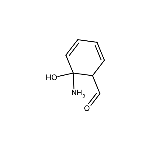 NC1(O)C=CC=CC1C=O